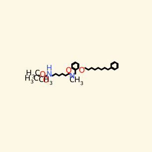 CN(Cc1ccccc1OCCCCCCCCc1ccccc1)C(=O)CCCCCNC(=O)OC(C)(C)C